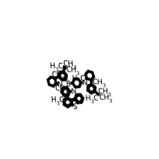 Cc1cc2c3c(c1)N1c4c(cc(C(C)(C)C)cc4C4(C)CCCCC14C)B3C1CCC(N3c4ccc(C(C)(C)C)cc4C4(C)CCCCC34C)CC1N2c1cccc2sc3ccccc3c12